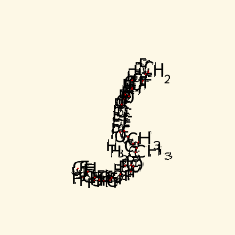 C=Cc1c(F)c(F)c(OCC(F)(F)OC(F)(F)C(F)(F)OC(F)(F)C(F)(F)OC(F)(F)COc2c(F)c(F)c(-c3c(F)c(F)c(Oc4ccc(C(C)(C)c5cccc(C(C)(C)c6ccc(Oc7c(F)c(F)c(-c8c(F)c(F)c(OCC(F)(F)OC(F)(F)C(F)(F)OC(F)(F)C(F)(F)OC(F)(F)COc9c(F)c(F)c(C=C)c(F)c9F)c(F)c8F)c(F)c7F)cc6)c5)cc4)c(F)c3F)c(F)c2F)c(F)c1F